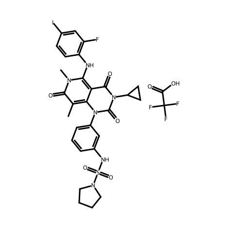 Cc1c(=O)n(C)c(Nc2ccc(I)cc2F)c2c(=O)n(C3CC3)c(=O)n(-c3cccc(NS(=O)(=O)N4CCCC4)c3)c12.O=C(O)C(F)(F)F